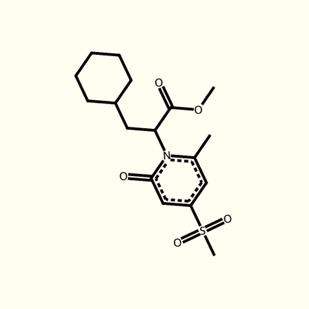 COC(=O)C(CC1CCCCC1)n1c(C)cc(S(C)(=O)=O)cc1=O